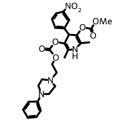 COC(=O)OC1=C(C)NC(C)=C(OC(=O)OCCN2CCN(c3ccccc3)CC2)C1c1cccc([N+](=O)[O-])c1